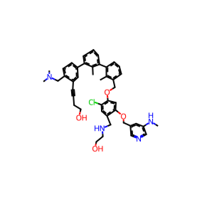 CNc1cncc(COc2cc(OCc3cccc(-c4cccc(-c5ccc(CN(C)C)c(C#CCCO)c5)c4C)c3C)c(Cl)cc2CNCCO)c1